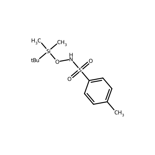 Cc1ccc(S(=O)(=O)NO[Si](C)(C)C(C)(C)C)cc1